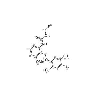 CCc1cc(C)c(OCc2c(NC(=S)OCF)cccc2OC)cc1C